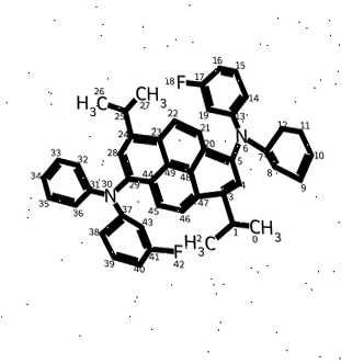 CC(C)c1cc(N(C2=CC=CCC2)c2cccc(F)c2)c2ccc3c(C(C)C)cc(N(c4ccccc4)c4cccc(F)c4)c4ccc1c2c34